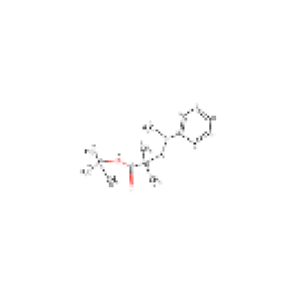 CC(CC(C)(C)C(=O)OC(C)(C)C)c1ccccc1